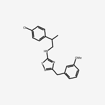 COc1cccc(Cc2nsc(NCC(C)c3ccc(Cl)cc3)n2)c1